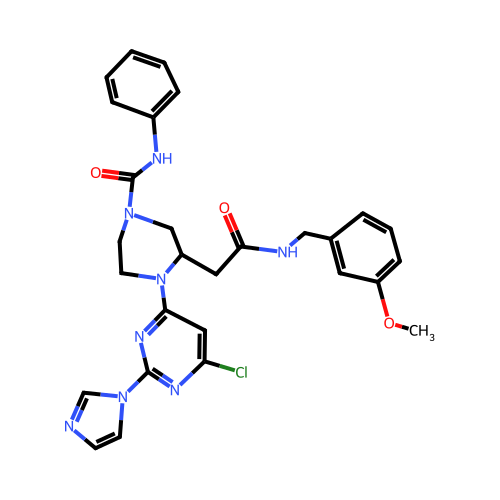 COc1cccc(CNC(=O)CC2CN(C(=O)Nc3ccccc3)CCN2c2cc(Cl)nc(-n3ccnc3)n2)c1